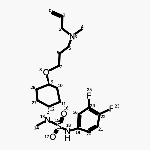 C=CCN(C)CCCO[C@H]1CC[C@H](N(C)S(=O)(=O)Nc2ccc(F)c(F)c2)CC1